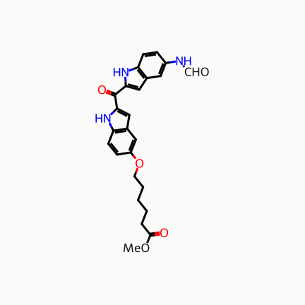 COC(=O)CCCCCOc1ccc2[nH]c(C(=O)c3cc4cc(NC=O)ccc4[nH]3)cc2c1